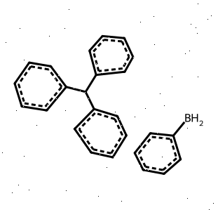 Bc1ccccc1.c1ccc(C(c2ccccc2)c2ccccc2)cc1